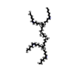 CCCCC/C=C\CCCOC(C)(CCCCN(C)CCCN(C)CCCCC(C)(OCCC/C=C\CCCCC)OCCC/C=C\CCCCC)OCCC/C=C\CCCCC